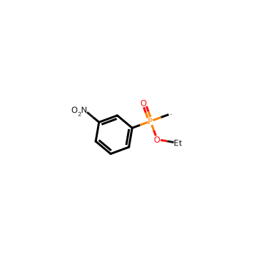 [CH2]P(=O)(OCC)c1cccc([N+](=O)[O-])c1